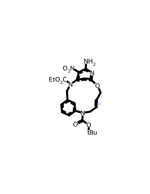 CCOC(=O)N1Cc2cccc(c2)N(C(=O)OC(C)(C)C)C/C=C/COc2cc1c([N+](=O)[O-])c(N)n2